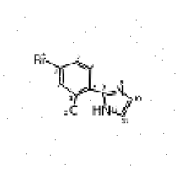 Clc1cc(Br)ccc1-c1ncc[nH]1